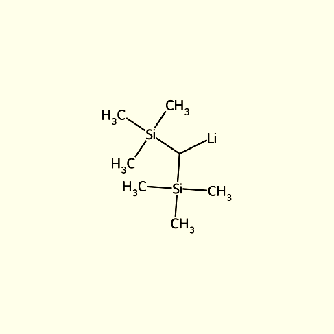 [Li][CH]([Si](C)(C)C)[Si](C)(C)C